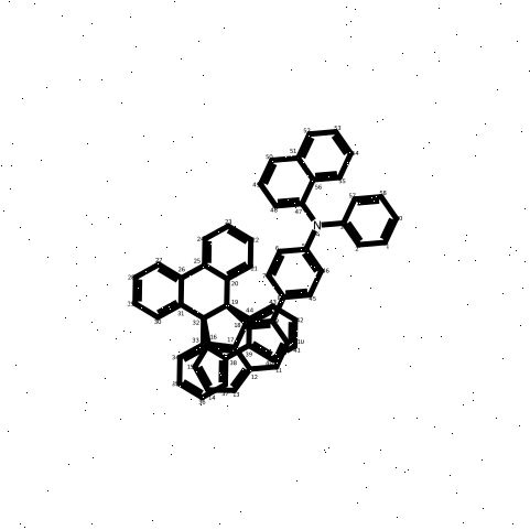 c1ccc(N(c2ccc(-c3ccc4cccc5c4c3C34c6ccccc6-c6ccccc6C53c3ccccc3-c3ccccc34)cc2)c2cccc3ccccc23)cc1